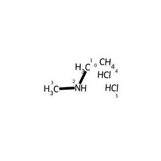 C.CNC.Cl.Cl